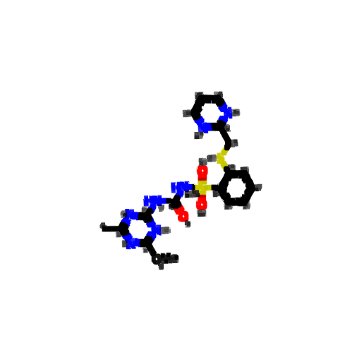 COc1nc(C)nc(NC(=O)NS(=O)(=O)c2ccccc2SCc2ncccn2)n1